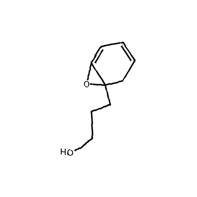 OCCCC12CC=CC=C1O2